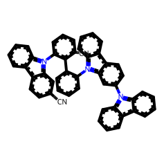 N#Cc1ccc2c3ccccc3n(-c3cccc(C#N)c3-c3ccccc3-n3c4ccccc4c4ccc(-n5c6ccccc6c6ccccc65)cc43)c2c1